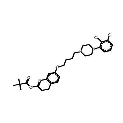 CC(C)(C)C(=O)OC1=Nc2cc(OCCCCN3CCN(c4cccc(Cl)c4Cl)CC3)ccc2CC1